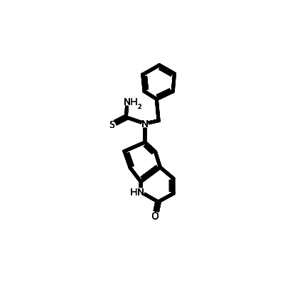 NC(=S)N(Cc1ccccc1)c1ccc2[nH]c(=O)ccc2c1